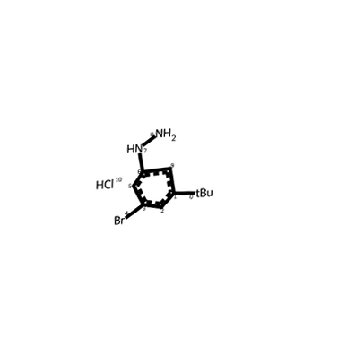 CC(C)(C)c1cc(Br)cc(NN)c1.Cl